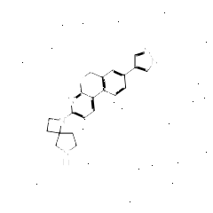 c1cc2c(cc1-c1cn[nH]c1)COc1nc(N3CCC34CCNC4)ccc1-2